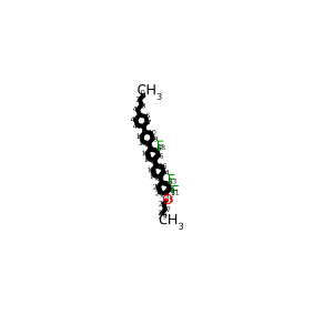 CCCCCC1CCC(C2CCC(c3ccc(-c4ccc(-c5ccc(OCCCC)c(F)c5F)cc4)cc3F)CC2)CC1